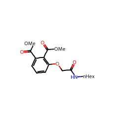 CCCCCCNC(=O)COc1cccc(C(=O)OC)c1C(=O)OC